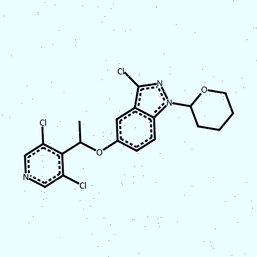 CC(Oc1ccc2c(c1)c(Cl)nn2C1CCCCO1)c1c(Cl)cncc1Cl